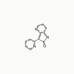 O=C1N=c2cccnc2=C1c1ccccn1